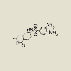 CC(C)N(C)C(=O)[C@H]1CC[C@H](NS(=O)(=O)c2ccc(N)c(N)c2)CC1